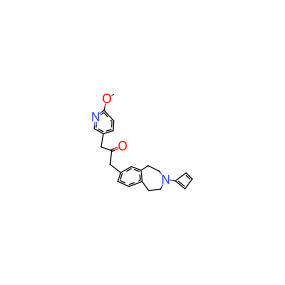 COc1ccc(CC(=O)Cc2ccc3c(c2)CCN(C2=CC=C2)CC3)cn1